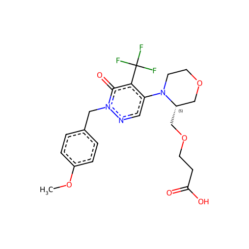 COc1ccc(Cn2ncc(N3CCOC[C@@H]3COCCC(=O)O)c(C(F)(F)F)c2=O)cc1